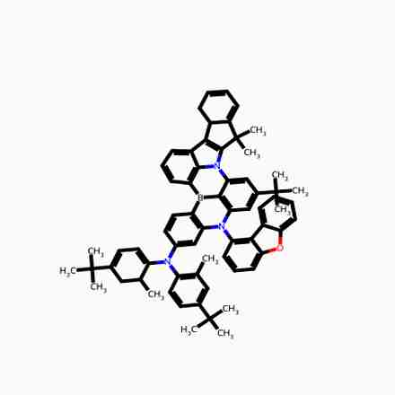 Cc1cc(C(C)(C)C)ccc1N(C1=CC=C(C(C)(C)C)CC1C)c1ccc2c(c1)N(c1cccc3oc4ccccc4c13)c1cc(C(C)(C)C)cc3c1B2c1cccc2c4c(n-3c12)C(C)(C)C1=CC=CCC14